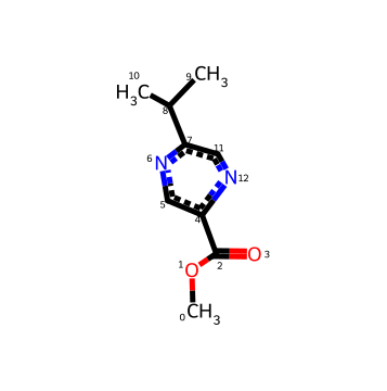 COC(=O)c1cnc(C(C)C)cn1